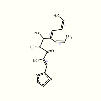 C\C=C/C=C(\C=C/C)C(CCC)N(C)C(=O)/C(C#N)=C/c1nccs1